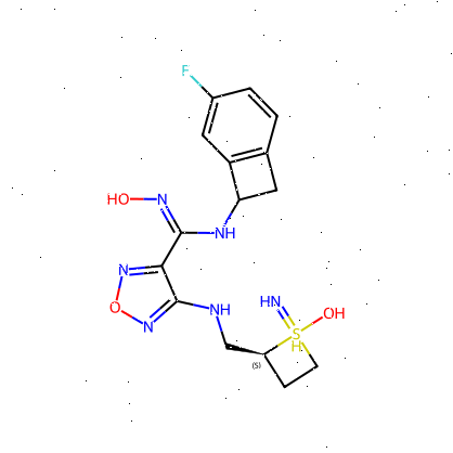 N=[SH]1(O)CC[C@H]1CNc1nonc1C(=NO)NC1Cc2ccc(F)cc21